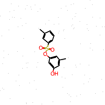 Cc1cc(O)cc(OS(=O)(=O)c2cccc(C)c2)c1